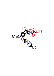 CCc1cnc(N2CC(Oc3cc([C@@H]4CN(C(=O)C(O)CO)C[C@@]4(C)[C@@H](C)O)ccc3OC)C2)nc1